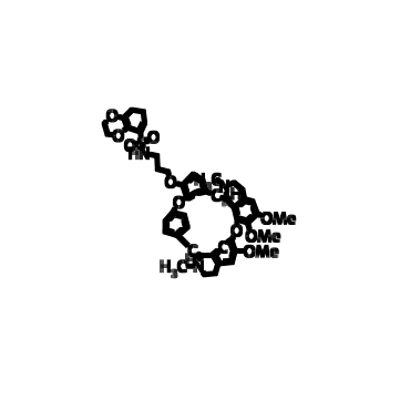 COc1cc2c3cc1Oc1c(OC)c(OC)cc4c1[C@H](Cc1ccc(OCCCNS(=O)(=O)C5=CCCC6=C5OCCO6)c(c1)Oc1ccc(cc1)C[C@H]3N(C)CC2)N(C)CC4